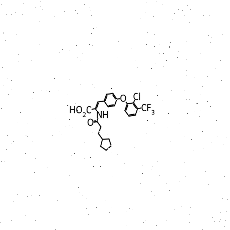 O=C(CCC1CCCC1)N/C(=C\c1ccc(Oc2cccc(C(F)(F)F)c2Cl)cc1)C(=O)O